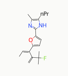 C=C(/C(=C\C)c1ccc(-c2nc(C)c(CCC)[nH]2)o1)C(C)(C)F